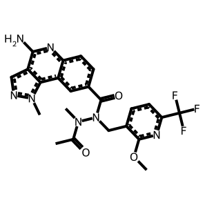 COc1nc(C(F)(F)F)ccc1CN(C(=O)c1ccc2nc(N)c3cnn(C)c3c2c1)N(C)C(C)=O